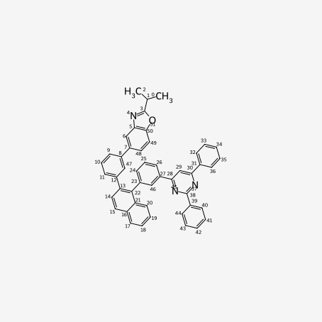 CC(C)c1nc2cc(-c3cccc(-c4ccc5ccccc5c4-c4cccc(-c5cc(-c6ccccc6)nc(-c6ccccc6)n5)c4)c3)ccc2o1